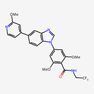 COc1cc(-c2ccc3c(c2)ncn3-c2cc(OC)c(C(=O)NCC(F)(F)F)c(OC)c2)ccn1